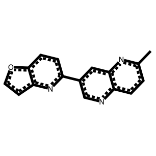 Cc1ccc2ncc(-c3ccc4occc4n3)cc2n1